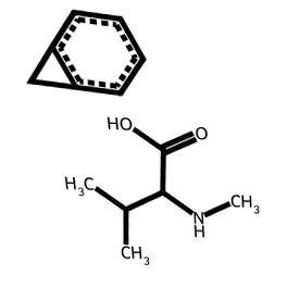 CNC(C(=O)O)C(C)C.c1ccc2c(c1)C2